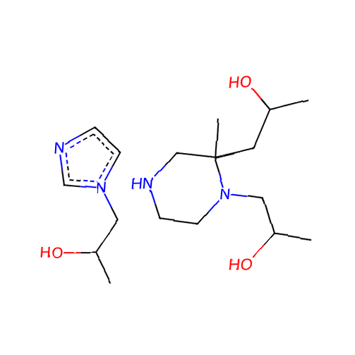 CC(O)CN1CCNCC1(C)CC(C)O.CC(O)Cn1ccnc1